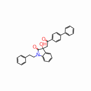 O=C(CC1(O)C(=O)N(CCc2ccccc2)c2ccccc21)c1ccc(-c2ccccc2)cc1